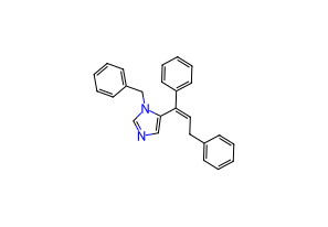 C(/Cc1ccccc1)=C(\c1ccccc1)c1cncn1Cc1ccccc1